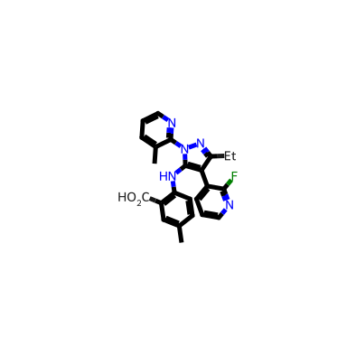 CCc1nn(-c2ncccc2C)c(Nc2ccc(C)cc2C(=O)O)c1-c1cccnc1F